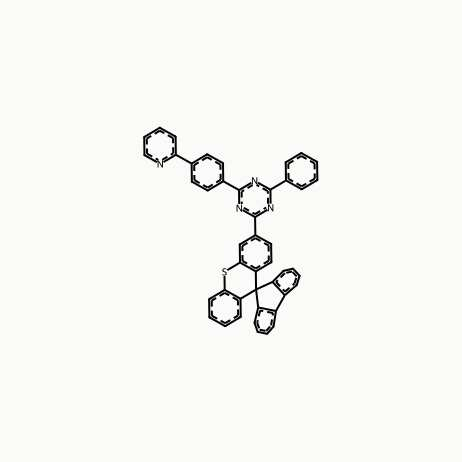 c1ccc(-c2nc(-c3ccc(-c4ccccn4)cc3)nc(-c3ccc4c(c3)Sc3ccccc3C43c4ccccc4-c4ccccc43)n2)cc1